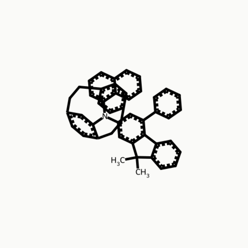 CC1(C)c2ccccc2-c2c(-c3ccccc3)cc(N(c3cc4ccc3CCc3ccc(cc3)CC4)c3cccc4ccccc34)cc21